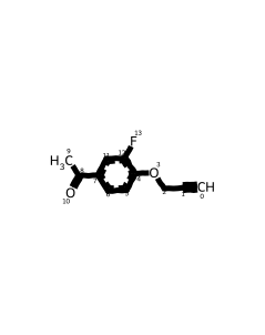 C#CCOc1ccc(C(C)=O)cc1F